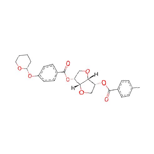 Cc1ccc(C(=O)O[C@@H]2CO[C@H]3[C@@H]2OC[C@H]3OC(=O)c2ccc(OC3CCCCO3)cc2)cc1